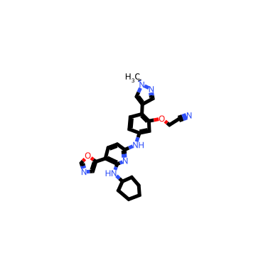 Cn1cc(-c2ccc(Nc3ccc(-c4cnco4)c(NC4CCCCC4)n3)cc2OCC#N)cn1